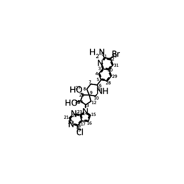 Nc1nc2cc(C3CCC4(CN3)CC(n3ccc5c(Cl)ncnc53)C(O)C4O)ccc2cc1Br